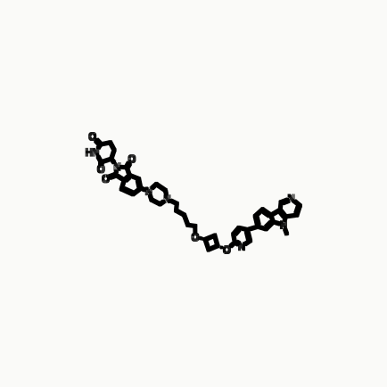 Cn1c2ccncc2c2ccc(-c3ccc(O[C@H]4C[C@H](OCCCCCN5CCN(c6ccc7c(c6)C(=O)N(C6CCC(=O)NC6=O)C7=O)CC5)C4)nc3)cc21